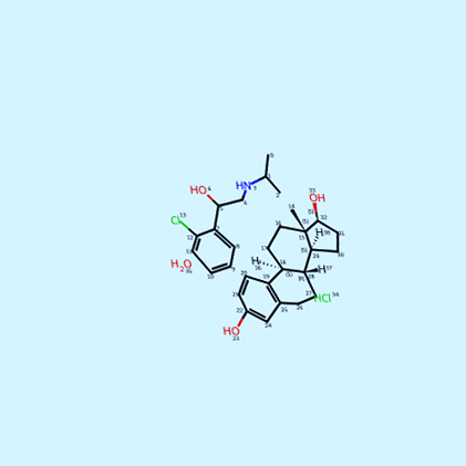 CC(C)NCC(O)c1ccccc1Cl.C[C@]12CC[C@@H]3c4ccc(O)cc4CC[C@H]3[C@@H]1CC[C@@H]2O.Cl.O